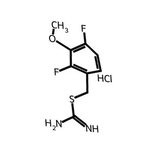 COc1c(F)ccc(CSC(=N)N)c1F.Cl